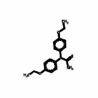 CCOc1ccc(N(C(N)=S)c2ccc(OCC)cc2)cc1